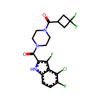 O=C(c1[nH]c2ccc(F)c(Cl)c2c1F)N1CCN(C(=O)C2CC(F)(F)C2)CC1